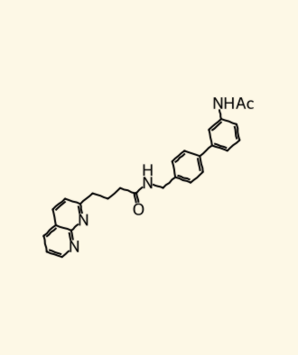 CC(=O)Nc1cccc(-c2ccc(CNC(=O)CCCc3ccc4cccnc4n3)cc2)c1